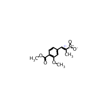 COC(=O)c1ccc(/C=C(\C)[N+](=O)[O-])cc1OC